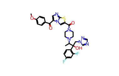 COc1ccc(C(=O)c2cnc3sc(C(=O)N4CCN(C(C)C(O)(Cn5cncn5)c5ccc(F)cc5F)CC4)cn23)cc1